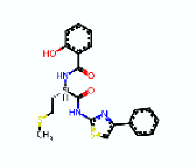 CSCC[Si@H](NC(=O)c1ccccc1O)C(=O)Nc1nc(-c2ccccc2)cs1